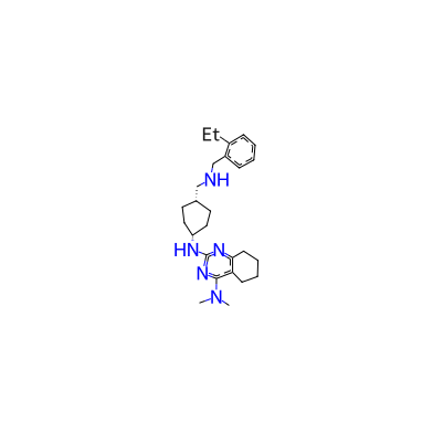 CCc1ccccc1CNC[C@H]1CC[C@@H](Nc2nc3c(c(N(C)C)n2)CCCC3)CC1